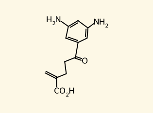 C=C(CCC(=O)c1cc(N)cc(N)c1)C(=O)O